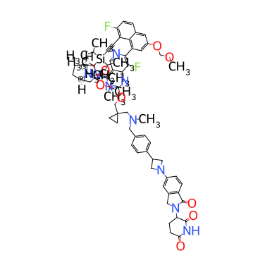 COCOc1cc(-c2ncc3c(N4C[C@H]5CC[C@@H](C4)N5C(=O)OC(C)(C)C)nc(OCC4(CN(C)Cc5ccc(C6CN(c7ccc8c(c7)CN(C7CCC(=O)NC7=O)C8=O)C6)cc5)CC4)nc3c2F)c2c(C#C[Si](C(C)C)(C(C)C)C(C)C)c(F)ccc2c1